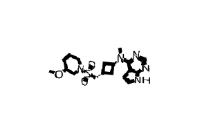 COC1CCCN(S(=O)(=O)C[C@H]2C[C@@H](N(C)c3ncnc4[nH]ccc34)C2)C1